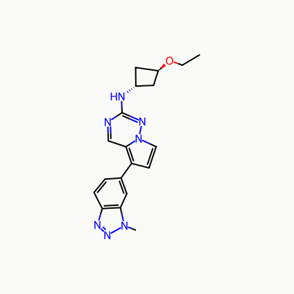 CCO[C@H]1C[C@H](Nc2ncc3c(-c4ccc5nnn(C)c5c4)ccn3n2)C1